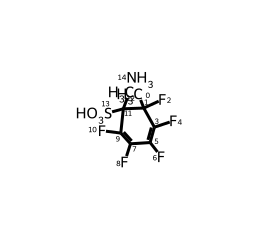 CC1(F)C(F)=C(F)C(F)=C(F)C1(C)S(=O)(=O)O.N